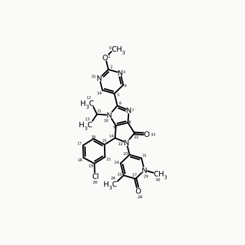 COc1ncc(-c2nc3c(n2C(C)C)C(c2cccc(Cl)c2)N(c2cc(C)c(=O)n(C)c2)C3=O)cn1